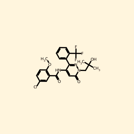 COc1ccc(Cl)cc1C(=O)Nc1cc(=O)n(CC(C)(C)O)nc1-c1ccccc1C(F)(F)F